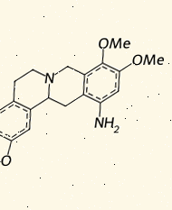 COc1cc(N)c2c(c1OC)CN1CCc3cc4c(cc3C1C2)OOC4